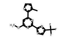 Cc1ccsc1-c1cc(OP)nc(-c2nc(C(F)(F)F)cs2)n1